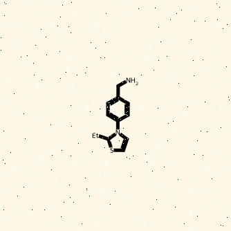 CCC1SC=CN1c1ccc(CN)cc1